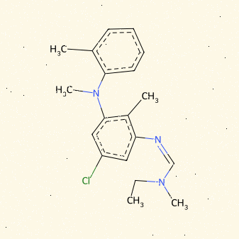 CCN(C)/C=N\c1cc(Cl)cc(N(C)c2ccccc2C)c1C